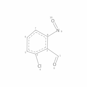 O=Cc1c(Cl)cccc1N=O